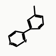 Cc1cc[c]c(-c2ccncn2)c1